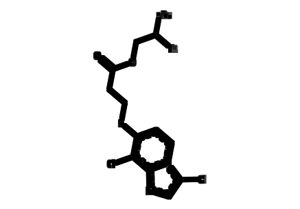 CCCCC(CC)COC(=O)CCSc1ccn2c(Cl)cnc2c1Cl